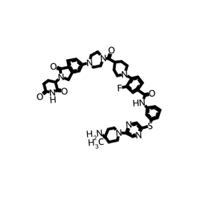 CC1(N)CCN(c2cnc(Sc3cccc(NC(=O)c4ccc(N5CCC(C(=O)N6CCN(c7ccc8c(c7)CN(C7CCC(=O)NC7=O)C8=O)CC6)CC5)c(F)c4)c3)cn2)CC1